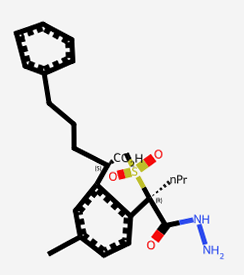 CCC[C@](C(=O)NN)(c1ccc(C)cc1[C@H](CCCc1ccccc1)C(=O)O)S(C)(=O)=O